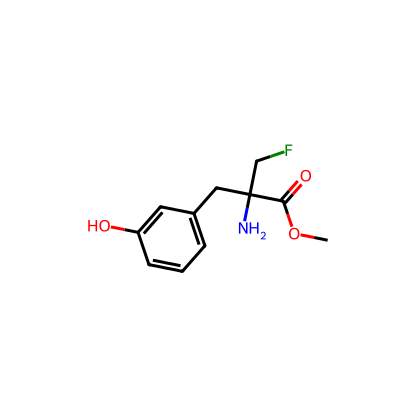 COC(=O)C(N)(CF)Cc1cccc(O)c1